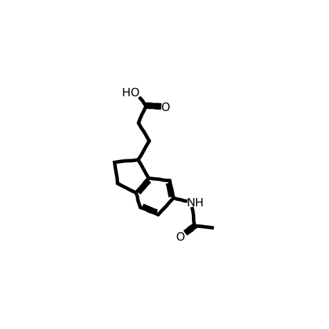 CC(=O)Nc1ccc2c(c1)C(CCC(=O)O)CC2